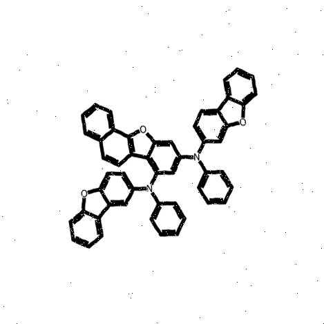 c1ccc(N(c2ccc3c(c2)oc2ccccc23)c2cc(N(c3ccccc3)c3ccc4oc5ccccc5c4c3)c3c(c2)oc2c4ccccc4ccc23)cc1